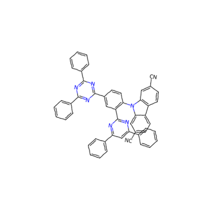 N#Cc1ccc2c3ccc(C#N)cc3n(-c3ccc(-c4nc(-c5ccccc5)nc(-c5ccccc5)n4)cc3-c3nc(-c4ccccc4)cc(-c4ccccc4)n3)c2c1